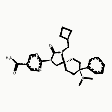 CN(C)[C@]1(c2ccccc2)CC[C@]2(CC1)CN(c1ncc(C(N)=O)cn1)C(=O)N2CC1CCC1